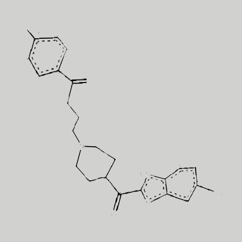 O=C(CCCN1CCC(C(=O)c2nc3cc(F)ccc3[nH]2)CC1)c1ccc(F)cc1